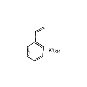 C=Cc1ccccc1.[KH].[KH]